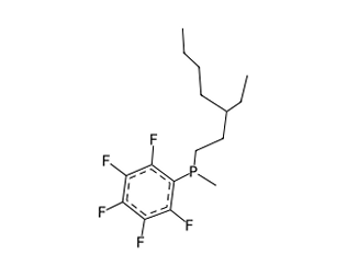 CCCCC(CC)CCP(C)c1c(F)c(F)c(F)c(F)c1F